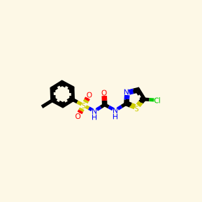 Cc1cccc(S(=O)(=O)NC(=O)Nc2ncc(Cl)s2)c1